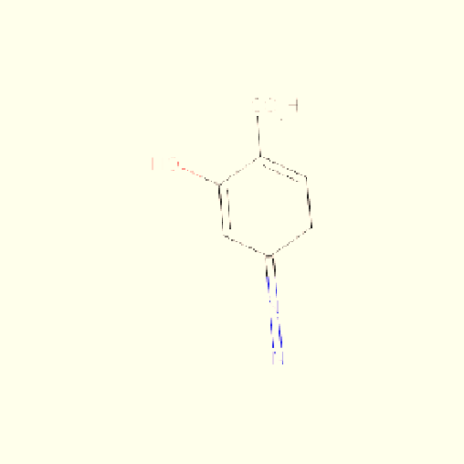 [N-]=[N+]=C1C=C(O)C(C(=O)O)=CC1